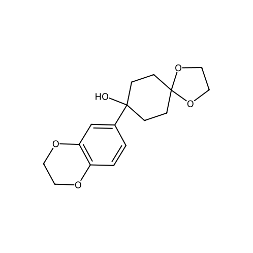 OC1(c2ccc3c(c2)OCCO3)CCC2(CC1)OCCO2